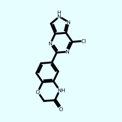 O=C1COc2ccc(-c3nc(Cl)c4n[nH]cc4n3)cc2N1